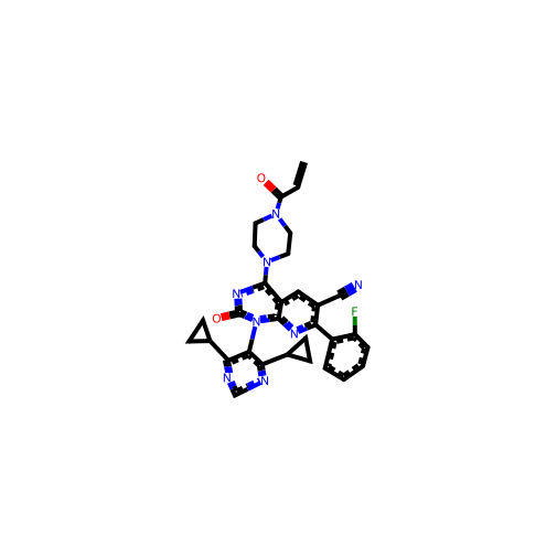 C=CC(=O)N1CCN(c2nc(=O)n(-c3c(C4CC4)ncnc3C3CC3)c3nc(-c4ccccc4F)c(C#N)cc23)CC1